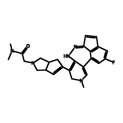 CN1C=C2C(=C(C3=CC4CN(CC(=O)N(C)C)CC4C3)C1)NN=C1C=Cc3cc(F)cc2c31